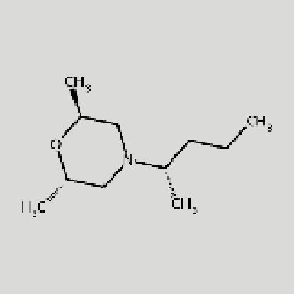 CCC[C@H](C)N1C[C@H](C)O[C@@H](C)C1